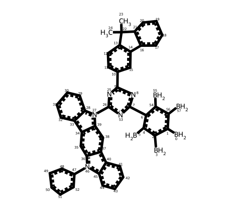 Bc1c(B)c(B)c(-c2nc(-c3ccc4c(c3)-c3ccccc3C4(C)C)nc(-n3c4ccccc4c4cc5c(cc43)c3ccccc3n5-c3ccccc3)n2)c(B)c1B